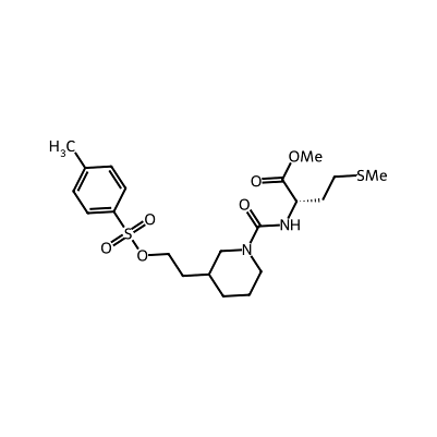 COC(=O)[C@H](CCSC)NC(=O)N1CCCC(CCOS(=O)(=O)c2ccc(C)cc2)C1